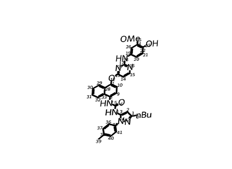 CCCCc1cc(NC(=O)Nc2ccc(Oc3ccnc(Nc4ccc(O)c(OC)c4)n3)c3ccccc23)n(-c2ccc(C)cc2)n1